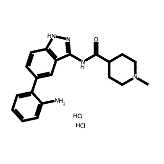 CN1CCC(C(=O)Nc2n[nH]c3ccc(-c4ccccc4N)cc23)CC1.Cl.Cl